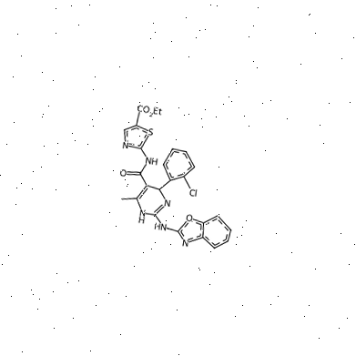 CCOC(=O)c1cnc(NC(=O)C2=C(C)NC(Nc3nc4ccccc4o3)=NC2c2ccccc2Cl)s1